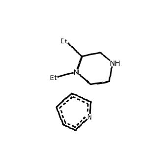 CCC1CNCCN1CC.c1ccncc1